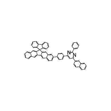 c1ccc(-c2nc(-c3ccc(-c4ccc5cc6c(cc5c4)C4(c5ccccc5-c5ccccc54)c4cc5ccccc5cc4-6)cc3)cc(-c3ccc4ccccc4c3)n2)cc1